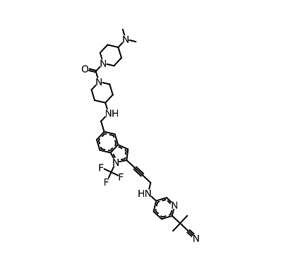 CN(C)C1CCN(C(=O)N2CCC(NCc3ccc4c(c3)cc(C#CCNc3ccc(C(C)(C)C#N)nc3)n4C(F)(F)F)CC2)CC1